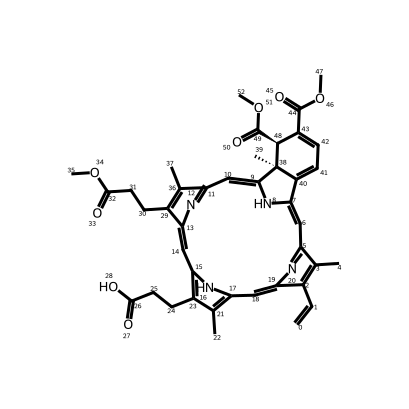 C=CC1=C(C)c2cc3[nH]c(cc4nc(cc5[nH]c(cc1n2)c(C)c5CCC(=O)O)C(CCC(=O)OC)=C4C)[C@]1(C)C3=CC=C(C(=O)OC)[C@@H]1C(=O)OC